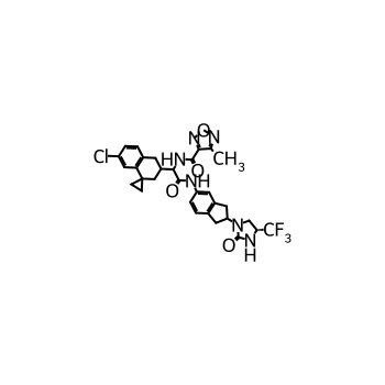 Cc1nonc1C(=O)NC(C(=O)Nc1ccc2c(c1)CC(N1C[C@@H](C(F)(F)F)NC1=O)C2)C1Cc2ccc(Cl)cc2C2(CC2)C1